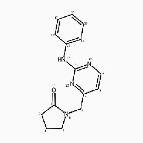 O=C1CCCN1Cc1ccnc(Nc2ccccc2)n1